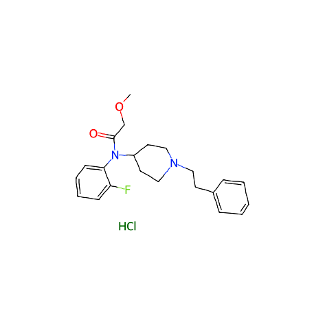 COCC(=O)N(c1ccccc1F)C1CCN(CCc2ccccc2)CC1.Cl